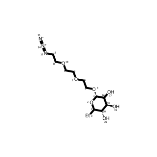 CCC1O[C@H](OCCOCCOCCN=[N+]=[N-])C(O)[C@@H](O)[C@@H]1O